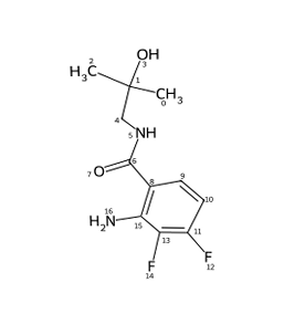 CC(C)(O)CNC(=O)c1ccc(F)c(F)c1N